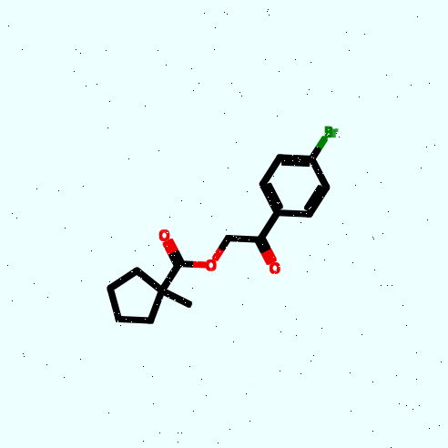 CC1(C(=O)OCC(=O)c2ccc(Br)cc2)CCCC1